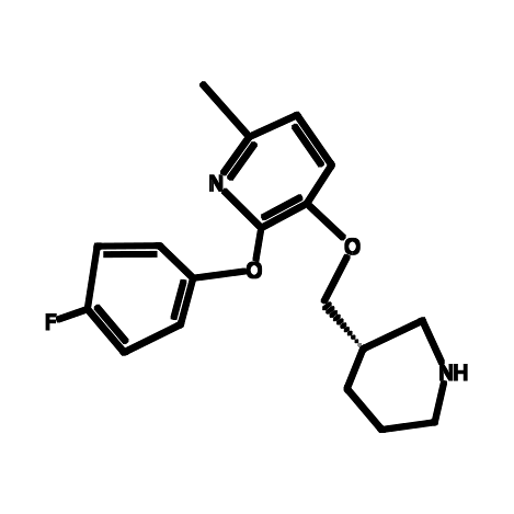 Cc1ccc(OC[C@H]2CCCNC2)c(Oc2ccc(F)cc2)n1